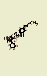 CCCCc1ccc(NC(=O)Nc2c[nH]nc2C2CCCCC2)cc1